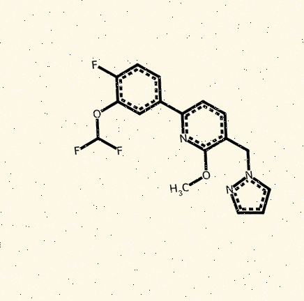 COc1nc(-c2ccc(F)c(OC(F)F)c2)ccc1Cn1cccn1